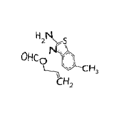 C=CCOC=O.Cc1ccc2nc(N)sc2c1